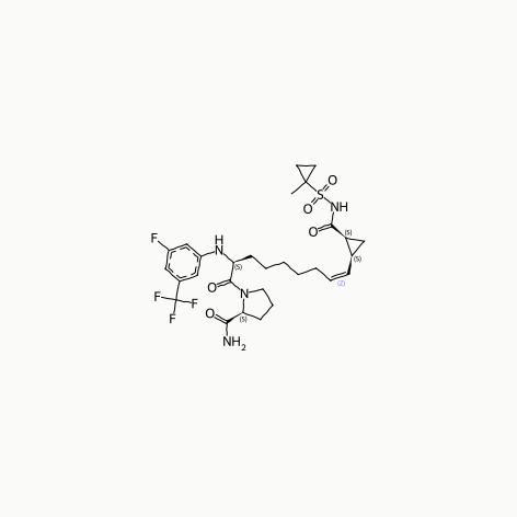 CC1(S(=O)(=O)NC(=O)[C@H]2C[C@H]2/C=C\CCCCC[C@H](Nc2cc(F)cc(C(F)(F)F)c2)C(=O)N2CCC[C@H]2C(N)=O)CC1